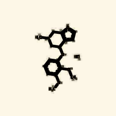 COc1cccc(OC2CN(C)Cc3occc32)c1OC.Cl